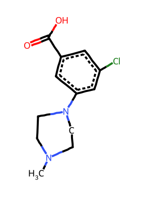 CN1CCN(c2cc(Cl)cc(C(=O)O)c2)CC1